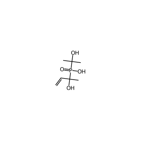 C=CC(C)(O)P(=O)(O)C(C)(C)O